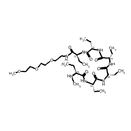 CC[C@H](NC)C(=O)N[C@@H](CC)C(=O)N[C@@H](CC)C(=O)N[C@@H](CC)C(=O)N[C@@H](CC)C(=O)N[C@@H](CC)C(=O)NCCOCCOCCOC